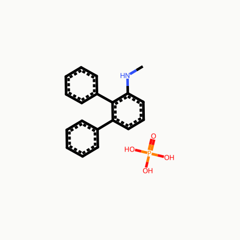 CNc1cccc(-c2ccccc2)c1-c1ccccc1.O=P(O)(O)O